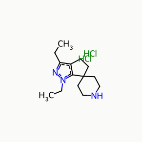 CCc1nn(CC)c2c1CCC21CCNCC1.Cl.Cl